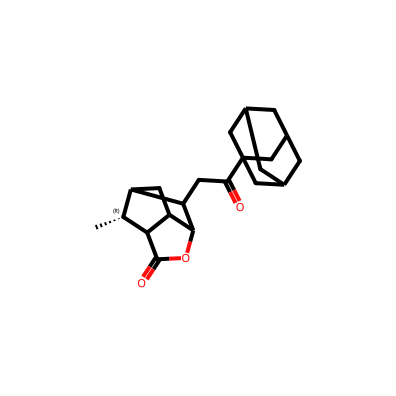 C[C@@H]1C2CC3C(OC(=O)C31)C2CC(=O)C12CC3CC(CC(C3)C1)C2